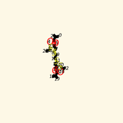 C=C(C)C(=O)OC(CSCCSCC(OC(=O)C(=C)C)SCC)SCC